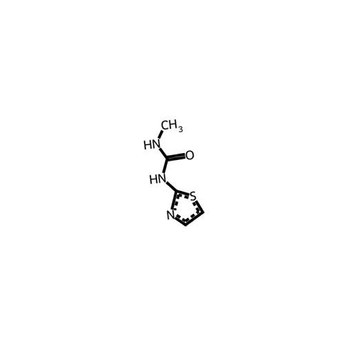 CNC(=O)Nc1nccs1